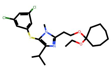 CCOC1(OCCc2nc(C(C)C)c(Sc3cc(Cl)cc(Cl)c3)n2C)CCCCCC1